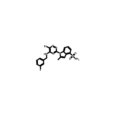 CCc1nnc(-n2c(C)cc3c(S(N)(=O)=O)cccc32)nc1NCc1cccc(F)c1